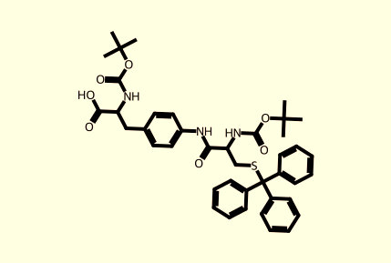 CC(C)(C)OC(=O)NC(Cc1ccc(NC(=O)C(CSC(c2ccccc2)(c2ccccc2)c2ccccc2)NC(=O)OC(C)(C)C)cc1)C(=O)O